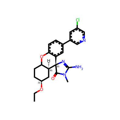 CCO[C@H]1CCC2Oc3ccc(-c4cncc(Cl)c4)cc3[C@]3(N=C(N)N(C)C3=O)[C@H]2C1